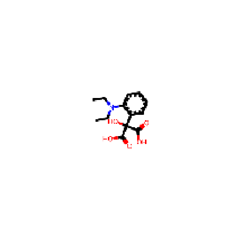 CCN(CC)c1ccccc1C(O)(C(=O)O)C(=O)O